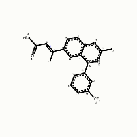 CCCCC(=O)/C=C(\C)c1ccc2nc(C)nc(-c3cccc(C(F)(F)F)c3)c2c1